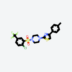 Cc1ccc(-c2csc(N3CCN(S(=O)(=O)c4cc(C(F)(F)F)ccc4Cl)CC3)n2)cc1